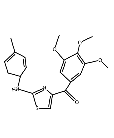 COc1cc(C(=O)c2csc(NC3C=CC(C)=CC3)n2)cc(OC)c1OC